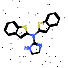 c1ccc2sc(N(C3=NCCN3)c3cc4ccccc4s3)cc2c1